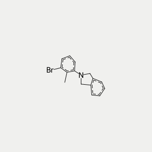 Cc1c(Br)cccc1N1Cc2ccccc2C1